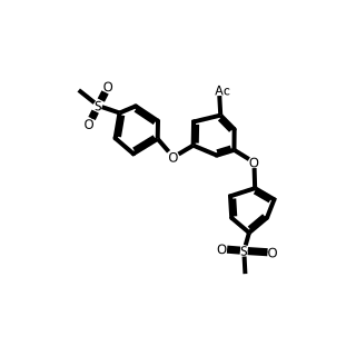 CC(=O)c1cc(Oc2ccc(S(C)(=O)=O)cc2)cc(Oc2ccc(S(C)(=O)=O)cc2)c1